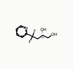 OC[C@@H](O)CC(F)(F)c1ccccn1